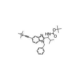 CC(C)C(NC(=O)OC(C)(C)C)c1nc2cc(C#C[Si](C)(C)C)ccc2n1Cc1ccccc1